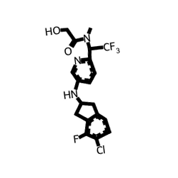 CN(C(=O)CO)C(c1ccc(NC2Cc3ccc(Cl)c(F)c3C2)cn1)C(F)(F)F